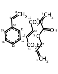 C=CCOC(=O)C=C.C=Cc1ccccc1.CCOC(=O)C=CC(=O)O